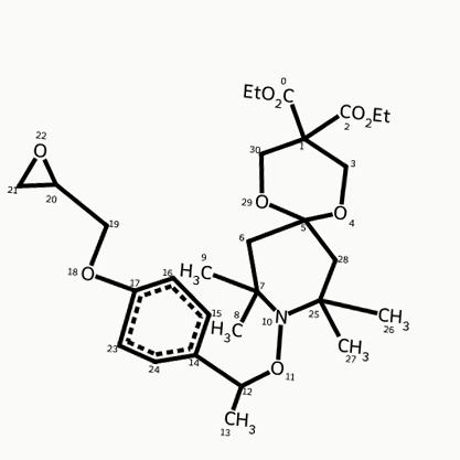 CCOC(=O)C1(C(=O)OCC)COC2(CC(C)(C)N(OC(C)c3ccc(OCC4CO4)cc3)C(C)(C)C2)OC1